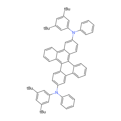 CC(C)(C)c1cc(N(c2ccccc2)c2ccc3c(c2)c2ccccc2c2c4ccc(N(c5ccccc5)c5cc(C(C)(C)C)cc(C(C)(C)C)c5)cc4c4ccccc4c32)cc(C(C)(C)C)c1